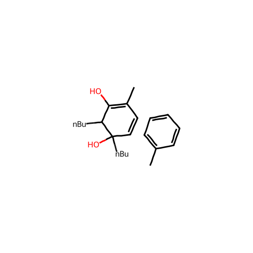 CCCCC1C(O)=C(C)C=CC1(O)CCCC.Cc1ccccc1